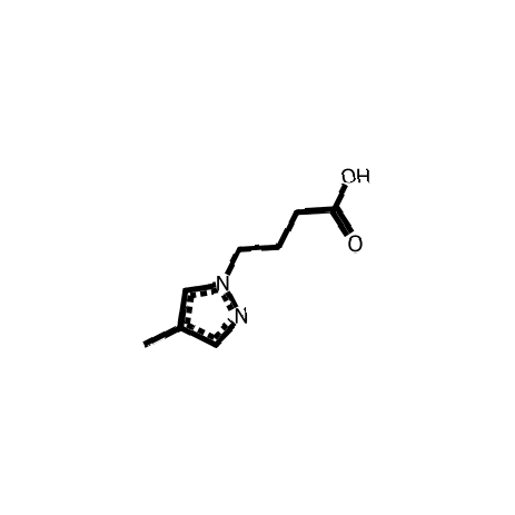 Cc1cnn(CCCC(=O)O)c1